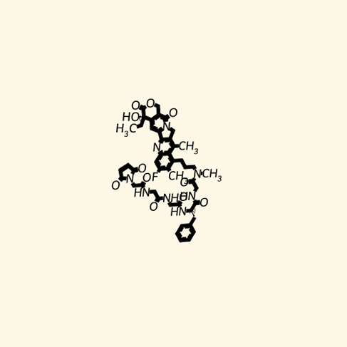 CC[C@@]1(O)C(=O)OCc2c1cc1n(c2=O)Cc2c-1nc1cc(F)c(C)c(CCCN(C)C(=O)CNC(=O)[C@H](Cc3ccccc3)NC(=O)CNC(=O)CNC(=O)CN3C(=O)C=CC3=O)c1c2C